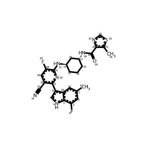 Cc1cc(F)c2[nH]cc(-c3nc(N[C@@H]4CCC[C@@H](NC(=O)c5ncsc5C)C4)c(F)cc3C#N)c2c1